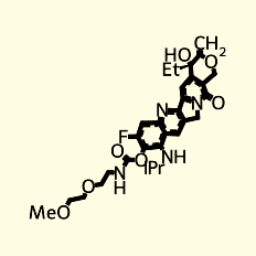 C=C1OCc2c(cc3n(c2=O)Cc2cc4c(NC(C)C)c(OC(=O)NCCOCCOC)c(F)cc4nc2-3)[C@@]1(O)CC